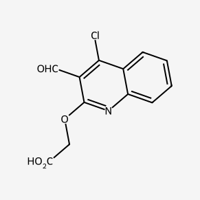 O=Cc1c(OCC(=O)O)nc2ccccc2c1Cl